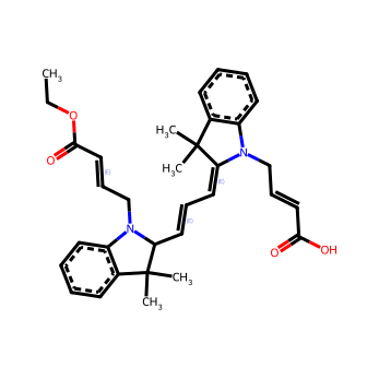 CCOC(=O)/C=C/CN1c2ccccc2C(C)(C)C1/C=C/C=C1/N(CC=CC(=O)O)c2ccccc2C1(C)C